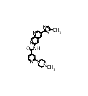 Cc1cnc(-c2cnc3cnc(NC(=O)c4ccnc(N5CCN(C)CC5)c4)cc3c2)s1